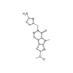 Cn1c2nc([S+](C)[O-])sc2c2cnn(Cc3csc(N)n3)c(=O)c21